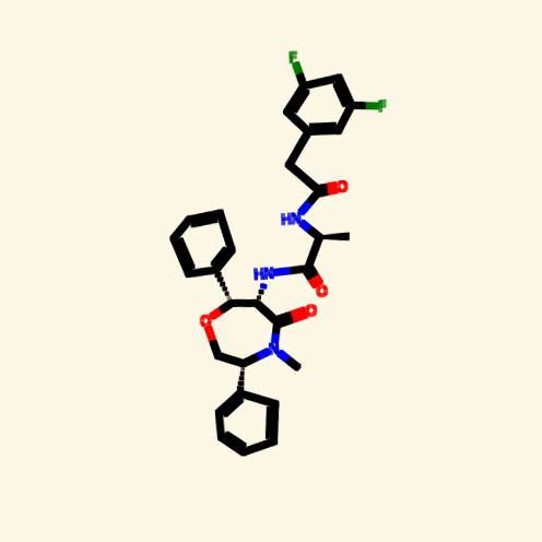 C[C@H](NC(=O)Cc1cc(F)cc(F)c1)C(=O)N[C@@H]1C(=O)N(C)[C@H](c2ccccc2)CO[C@@H]1c1ccccc1